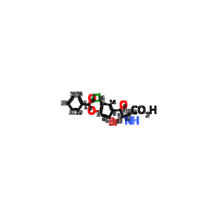 O=C(Oc1ccc(C(=O)C2(Br)NC2C(=O)O)cc1Cl)c1ccccc1